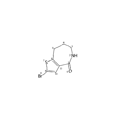 O=C1NCCCc2sc(Br)cc21